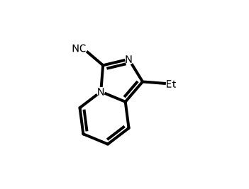 CCc1nc(C#N)n2ccccc12